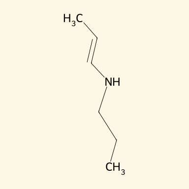 CC=CNCCC